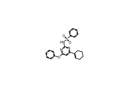 O=S(=O)(Nc1nc(Oc2ccccc2)cc(C2=CCCCC2)n1)c1ccccc1